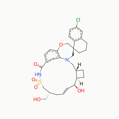 O=C1NS(=O)(=O)C[C@@H](CO)C/C=C/[C@H](O)[C@@H]2CC[C@H]2CN2C[C@@]3(CCCc4cc(Cl)ccc43)COc3ccc1cc32